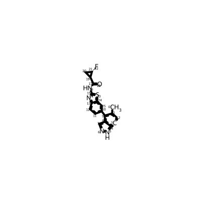 Cc1ccc2[nH]ncc2c1-c1ccc2nc(NC(=O)C3C[C@@H]3F)sc2c1